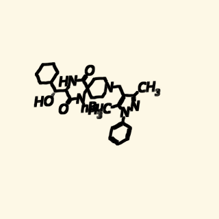 CCCCN1C(=O)[C@@H]([C@H](O)C2CCCCC2)NC(=O)C12CCN(Cc1c(C)nn(-c3ccccc3)c1C)CC2